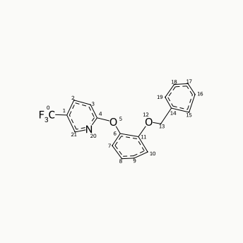 FC(F)(F)c1ccc(Oc2ccccc2OCc2ccccc2)nc1